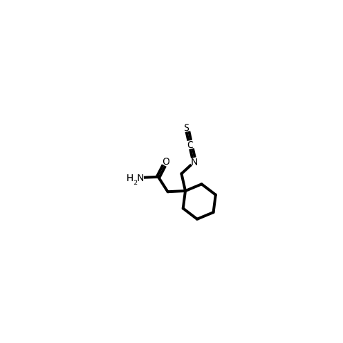 NC(=O)CC1(CN=C=S)CCCCC1